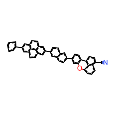 N#Cc1ccc2c3c(cccc13)Oc1cc(-c3ccc4cc(-c5cc6ccc7cc(-c8ccccc8)cc8ccc(c5)c6c78)ccc4c3)ccc1-2